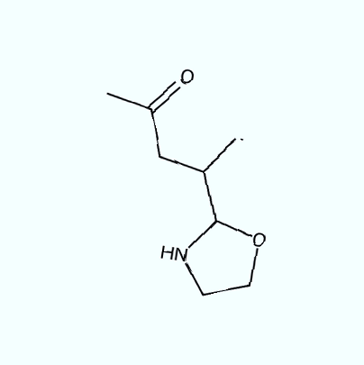 [CH2]C(CC(C)=O)C1NCCO1